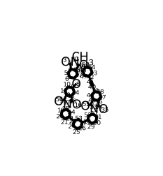 CN1C(=O)c2ccc(Oc3ccc4c(c3)C(=O)N(c3cccc(-c5cccc(-c6cccc(N7C(=O)c8ccc(C#Cc9ccccc9)cc8C7=O)c6)c5)c3)C4=O)cc2C1=O